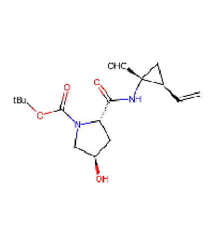 C=C[C@@H]1C[C@@]1(C=O)NC(=O)[C@@H]1C[C@@H](O)CN1C(=O)OC(C)(C)C